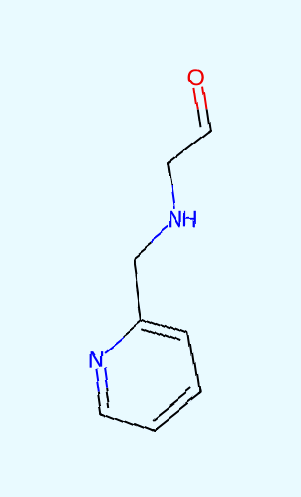 O=CCNCc1ccccn1